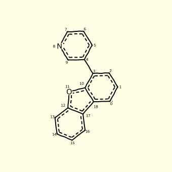 [c]1ccc(-c2cccnc2)c2oc3ccccc3c12